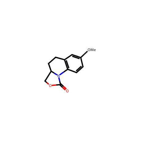 COc1ccc2c(c1)CCC1COC(=O)N21